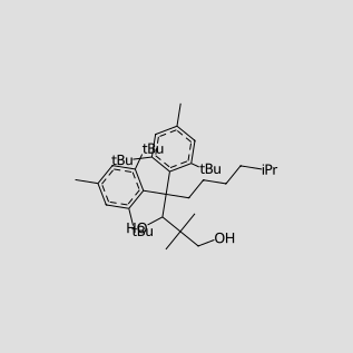 Cc1cc(C(C)(C)C)c(C(CCCCC(C)C)(c2c(C(C)(C)C)cc(C)cc2C(C)(C)C)C(O)C(C)(C)CO)c(C(C)(C)C)c1